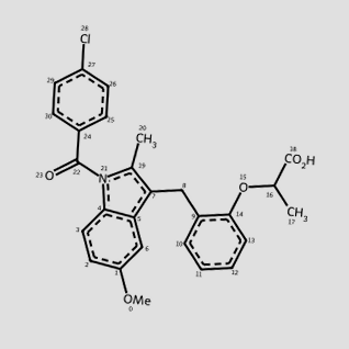 COc1ccc2c(c1)c(Cc1ccccc1OC(C)C(=O)O)c(C)n2C(=O)c1ccc(Cl)cc1